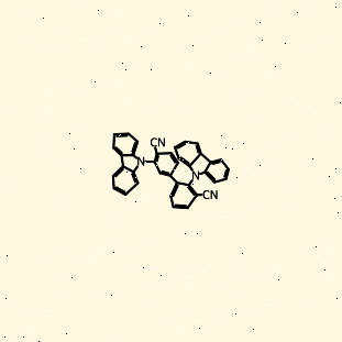 N#Cc1ccc(-c2cccc(C#N)c2-n2c3ccccc3c3ccccc32)cc1-n1c2ccccc2c2ccccc21